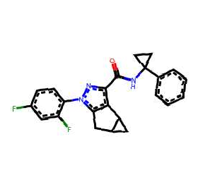 O=C(NC1(c2ccccc2)CC1)c1nn(-c2ccc(F)cc2F)c2c1C1CC1C2